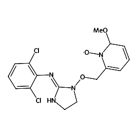 COC1C=CC=C(CON2CCNC2=Nc2c(Cl)cccc2Cl)N1[O]